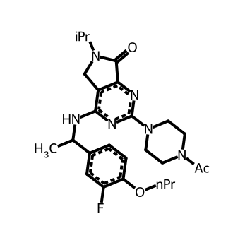 CCCOc1ccc(C(C)Nc2nc(N3CCN(C(C)=O)CC3)nc3c2CN(C(C)C)C3=O)cc1F